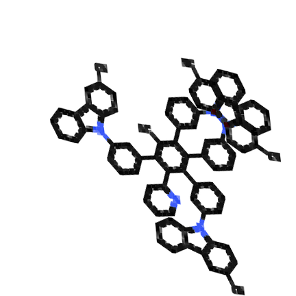 N#Cc1ccc2c(c1)c1ccccc1n2-c1cccc(-c2c(C#N)c(-c3cccc(-n4c5ccccc5c5cc(C#N)ccc54)c3)c(-c3ccccn3)c(-c3cccc(-n4c5ccccc5c5cc(C#N)ccc54)c3)c2-c2cccc(-n3c4ccccc4c4cc(C#N)ccc43)c2)c1